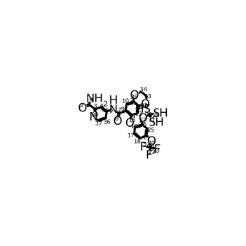 NC(=O)c1cc(NC(=O)c2cc3c(cc2Oc2ccc(OC(F)(F)F)cc2OC(S)(S)S)OCCO3)ccn1